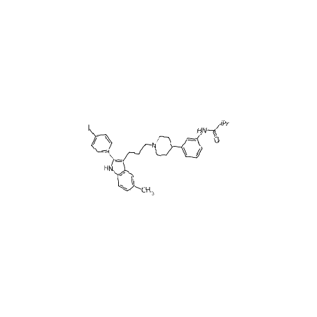 Cc1ccc2[nH]c(-c3ccc(I)cc3)c(CCCN3CCC(c4cccc(NC(=O)C(C)C)c4)CC3)c2c1